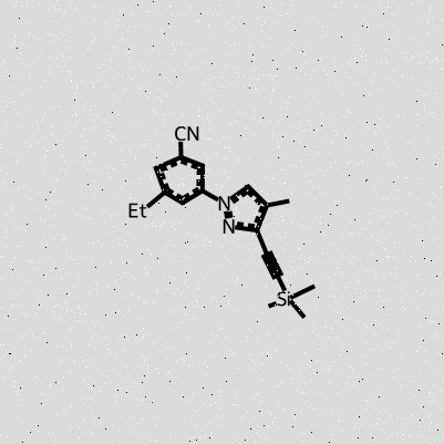 CCc1cc(C#N)cc(-n2cc(C)c(C#C[Si](C)(C)C)n2)c1